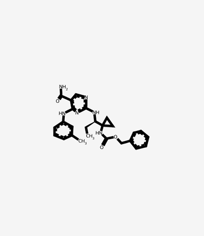 CC[C@@H](Nc1ncc(C(N)=O)c(Nc2cccc(C)c2)n1)C1(NC(=O)OCc2ccccc2)CC1